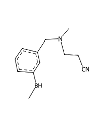 CBc1cccc(CN(C)CCC#N)c1